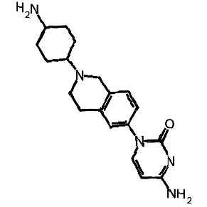 Nc1ccn(-c2ccc3c(c2)CCN(C2CCC(N)CC2)C3)c(=O)n1